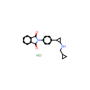 Cl.O=C1c2ccccc2C(=O)N1c1ccc(C2CC2NCC2CC2)cc1